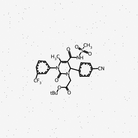 CC1=C(C(=O)NS(C)(=O)=O)C(c2ccc(C#N)cc2)N(CC(=O)OC(C)(C)C)C(=O)N1c1cccc(C(F)(F)F)c1